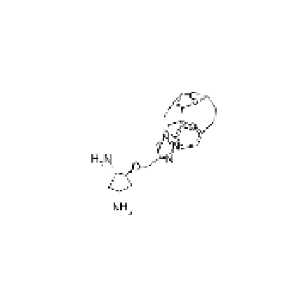 N[C@H]1C[C@H](OCc2cn(CC(=O)c3cc4ccc3CCc3ccc(cc3)CC4)nn2)[C@@H](N)C1